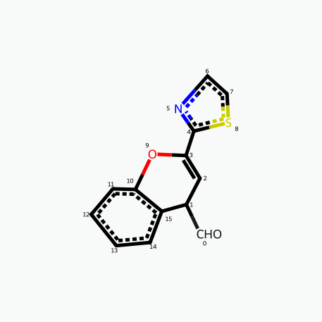 O=CC1C=C(c2nccs2)Oc2ccccc21